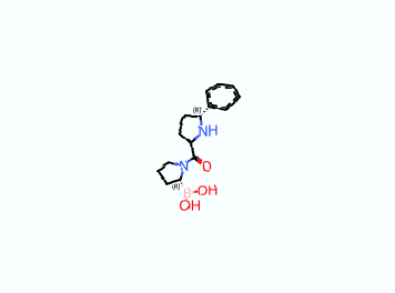 O=C(C1CC[C@H](c2ccccc2)N1)N1CCC[C@H]1B(O)O